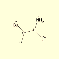 CCC(C)C(C)C(N)C(C)C